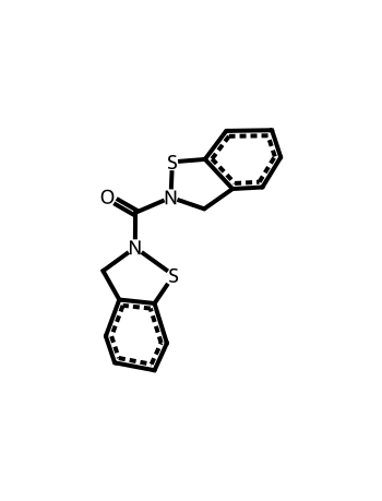 O=C(N1Cc2ccccc2S1)N1Cc2ccccc2S1